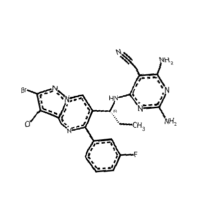 CC[C@@H](Nc1nc(N)nc(N)c1C#N)c1cn2nc(Br)c(Cl)c2nc1-c1cccc(F)c1